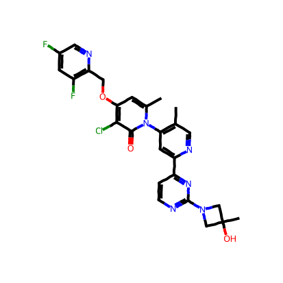 Cc1cnc(-c2ccnc(N3CC(C)(O)C3)n2)cc1-n1c(C)cc(OCc2ncc(F)cc2F)c(Cl)c1=O